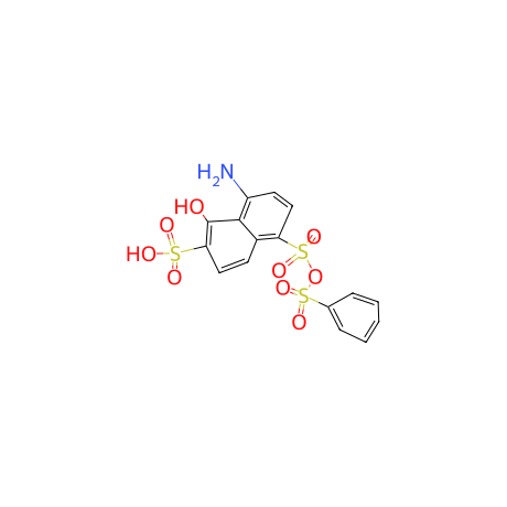 Nc1ccc(S(=O)(=O)OS(=O)(=O)c2ccccc2)c2ccc(S(=O)(=O)O)c(O)c12